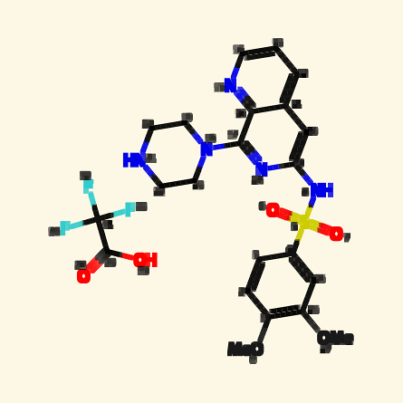 COc1ccc(S(=O)(=O)Nc2cc3cccnc3c(N3CCNCC3)n2)cc1OC.O=C(O)C(F)(F)F